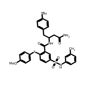 COc1ccc(Sc2ccc(S(=O)(=O)Nc3cccc(C)c3)cc2C(=O)NC(CC(N)=O)Cc2ccc(C(C)(C)C)cc2)cc1